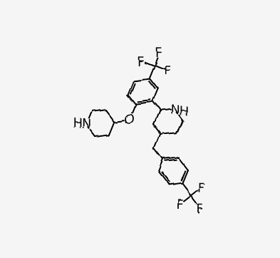 FC(F)(F)c1ccc(CC2CCNC(c3cc(C(F)(F)F)ccc3OC3CCNCC3)C2)cc1